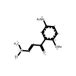 CCN(C)/C=C/C(=O)c1cc(NC(C)=O)ccc1OC